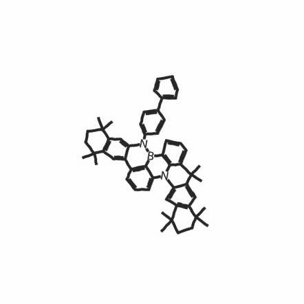 CC1(C)CCC(C)(C)c2cc3c(cc21)-c1cccc2c1B(c1cccc4c1N2c1cc2c(cc1C4(C)C)C(C)(C)CCC2(C)C)N3c1ccc(-c2ccccc2)cc1